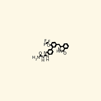 NC(=O)Nc1nc2cc(-c3cc(Cc4n[nH]c(=O)c5ccccc45)ccc3OC(F)(F)F)ccc2[nH]1